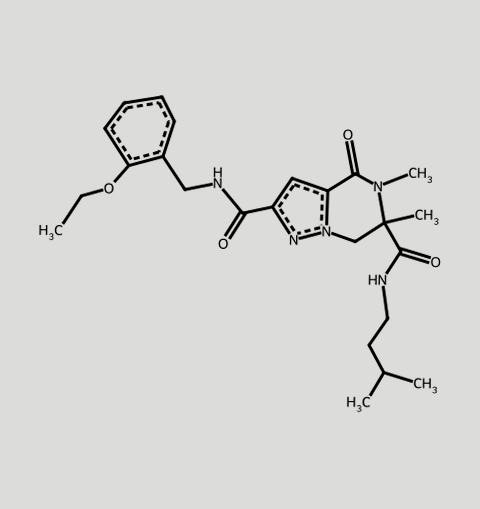 CCOc1ccccc1CNC(=O)c1cc2n(n1)CC(C)(C(=O)NCCC(C)C)N(C)C2=O